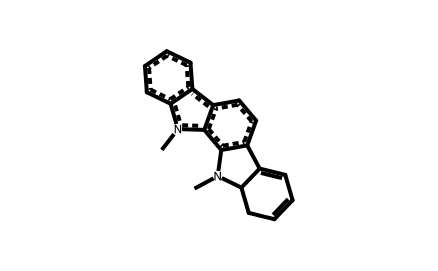 CN1c2c(ccc3c4ccccc4n(C)c23)C2=CC=CCC21